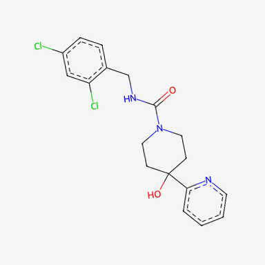 O=C(NCc1ccc(Cl)cc1Cl)N1CCC(O)(c2ccccn2)CC1